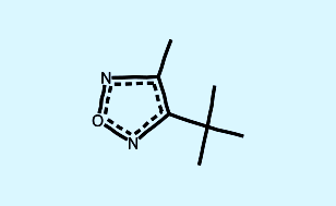 Cc1nonc1C(C)(C)C